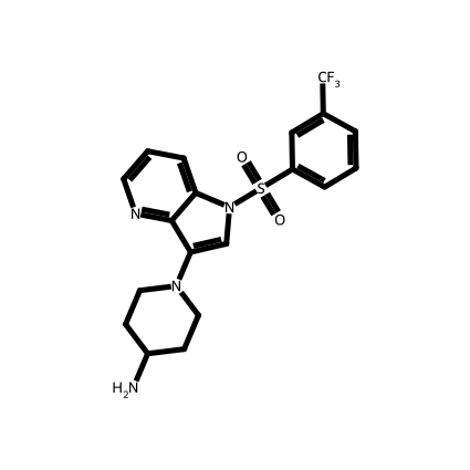 NC1CCN(c2cn(S(=O)(=O)c3cccc(C(F)(F)F)c3)c3cccnc23)CC1